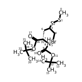 CSSC(CBr)C[C@H](NC(=O)OC(C)(C)C)C(=O)OC(C)(C)C